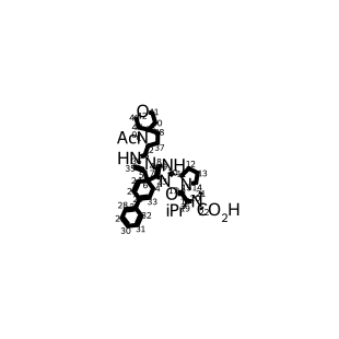 CC(=O)N1C(c2nc(C3(c4c[nH]c([C@@H]5CCCN5C(=O)[C@H](C(C)C)N(C)C(=O)O)n4)C=CC(c4ccccc4)=CC3)c[nH]2)CCC12CCOCC2